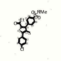 CCC(=O)c1sc(-c2ccc(Cl)cc2)c(C)c1-c1ccc(S(=O)(=O)NC)cc1